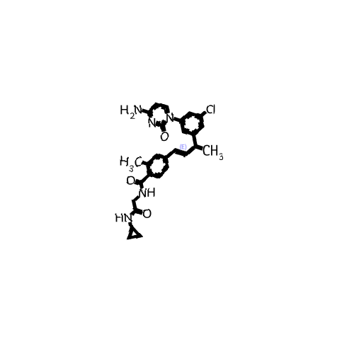 Cc1cc(/C=C/C(C)c2cc(Cl)cc(-n3ccc(N)nc3=O)c2)ccc1C(=O)NCC(=O)NC1CC1